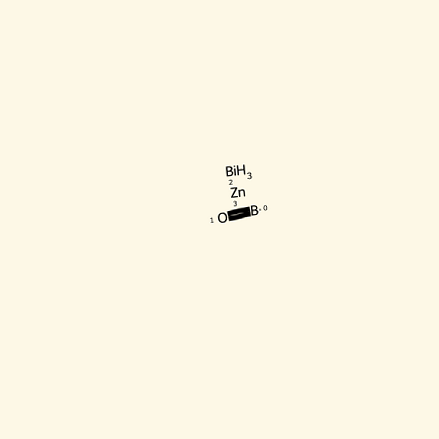 [B]=O.[BiH3].[Zn]